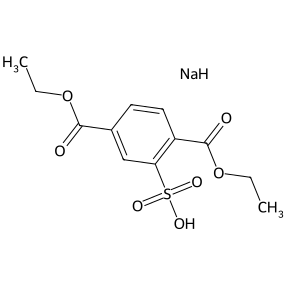 CCOC(=O)c1ccc(C(=O)OCC)c(S(=O)(=O)O)c1.[NaH]